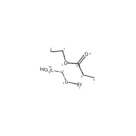 CCOC(=O)CC.CCOCC(=O)O